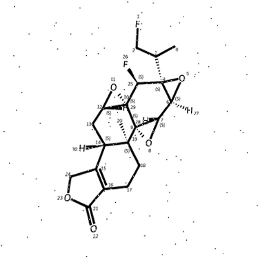 CC(CF)[C@]12O[C@H]1[C@@H]1O[C@]13[C@]1(O[C@H]1C[C@H]1C4=C(CC[C@@]13C)C(=O)OC4)[C@H]2F